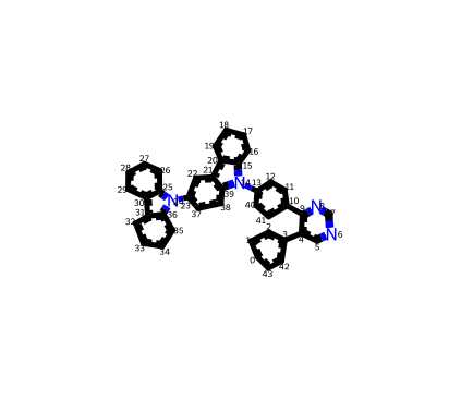 c1ccc(-c2cncnc2-c2ccc(-n3c4ccccc4c4cc(-n5c6ccccc6c6ccccc65)ccc43)cc2)cc1